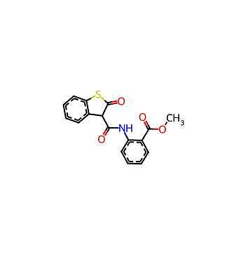 COC(=O)c1ccccc1NC(=O)C1C(=O)Sc2ccccc21